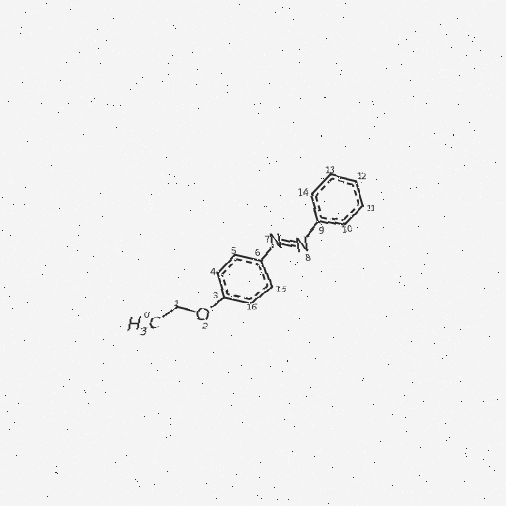 CCOc1ccc(N=Nc2cc[c]cc2)cc1